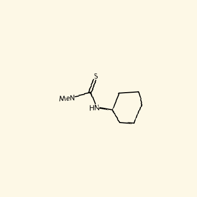 CNC(=S)NC1CCCCC1